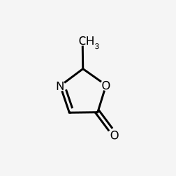 CC1N=CC(=O)O1